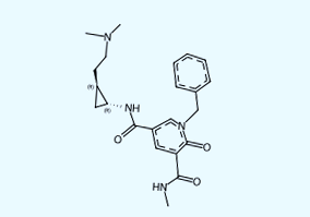 CNC(=O)c1cc(C(=O)N[C@@H]2C[C@H]2CCN(C)C)cn(Cc2ccccc2)c1=O